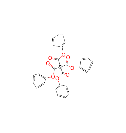 O=C(Oc1ccccc1)[Si](C(=O)Oc1ccccc1)(C(=O)Oc1ccccc1)C(=O)Oc1ccccc1